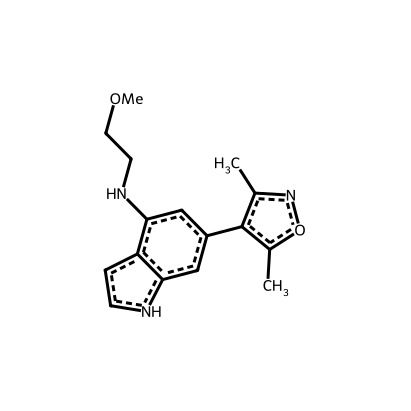 COCCNc1cc(-c2c(C)noc2C)cc2[nH]ccc12